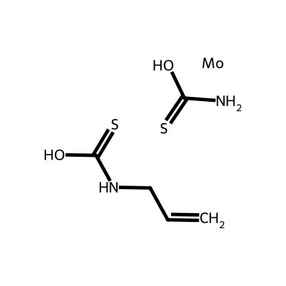 C=CCNC(O)=S.NC(O)=S.[Mo]